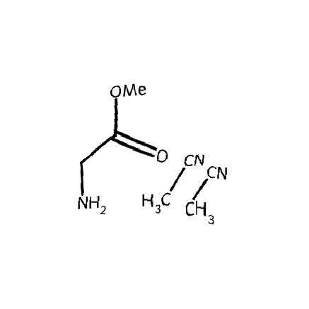 CC#N.CC#N.COC(=O)CN